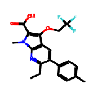 CCc1nc2c(cc1-c1ccc(C)cc1)c(OCC(F)(F)F)c(C(=O)O)n2C